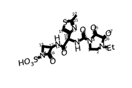 CCN1CCN(C(=O)NC(C(=O)NC2CN(S(=O)(=O)O)C2=O)c2csc(C)n2)C(=O)C1=O